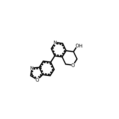 OC1COCc2c(-c3ccc4ocnc4c3)cncc21